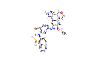 Cn1cc(-c2cc(Nc3ncc(Br)c(Nc4ccc5nccnc5c4P(C)C)n3)c(OCC(F)(F)F)nc2N2CCOCC2)cn1